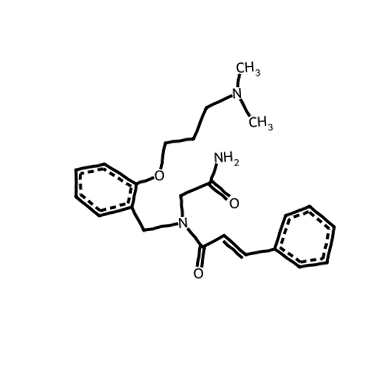 CN(C)CCCOc1ccccc1CN(CC(N)=O)C(=O)C=Cc1ccccc1